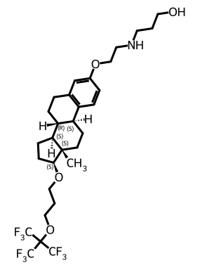 C[C@]12CC[C@@H]3c4ccc(OCCNCCCO)cc4CC[C@H]3[C@@H]1CC[C@@H]2OCCCOC(C(F)(F)F)(C(F)(F)F)C(F)(F)F